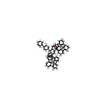 c1ccc(-c2ccc(-c3c4cccc(-c5cccc6c5[Si](c5ccccc5)(c5ccccc5)c5ccccc5-6)c4cc4c(-c5cccc6c5[Si](c5ccccc5)(c5ccccc5)c5ccccc5-6)cccc34)cc2)cc1